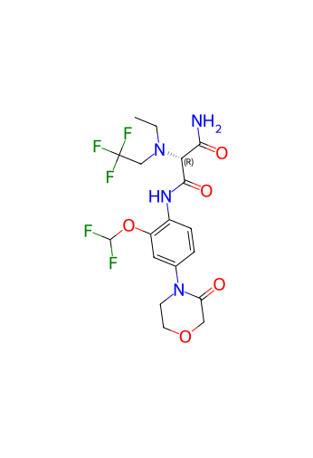 CCN(CC(F)(F)F)[C@H](C(N)=O)C(=O)Nc1ccc(N2CCOCC2=O)cc1OC(F)F